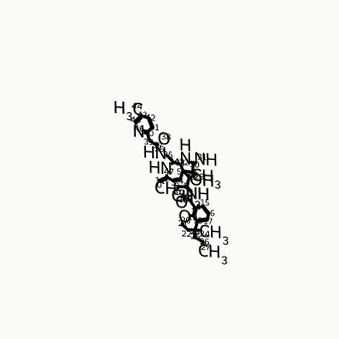 C/C=C1\C=CC2(C(O)C(CC)NC(=O)c3cccc4c3OCCC4(C)CCC)C(C)C(=N)NC2C(CNC(=O)Cc2ccc(C)cn2)N1